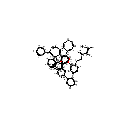 C/C(O)=C(\F)C(=O)CCc1ccccc1-c1cc(C2=CC=CCC=C2C2=CC(c3ccccc3)C=C(c3ccccc3)N=C2)cc(-c2ccccc2-c2cnc(-c3ccccc3)cc2-c2ccccc2)c1